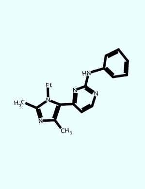 CCn1c(C)nc(C)c1-c1ccnc(Nc2ccccc2)n1